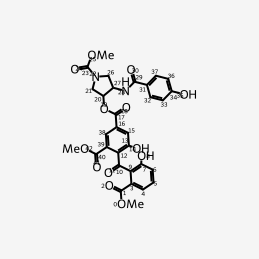 COC(=O)c1cccc(O)c1C(=O)c1c(O)cc(C(=O)OC2CN(C(=O)OC)CC2NC(=O)c2ccc(O)cc2)cc1C(=O)OC